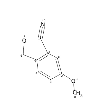 COc1ccc(C[O])c(C#N)c1